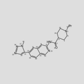 CC(C)N1CCC(C(=O)Nc2cc3cc(-c4cnnn4C)ccc3cn2)CC1